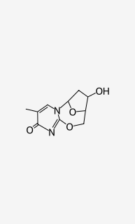 Cc1cn2c(nc1=O)OCC1OC2CC1O